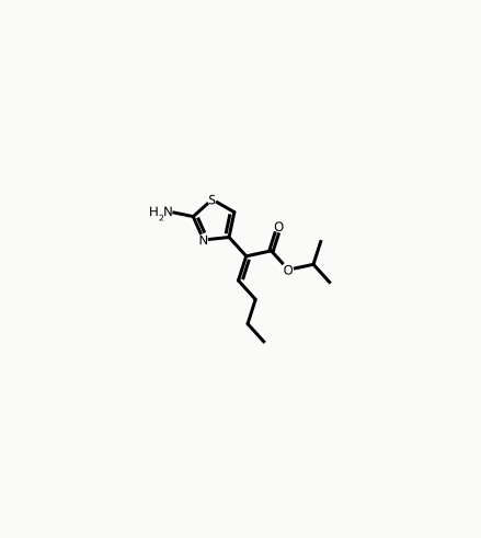 CCC/C=C(\C(=O)OC(C)C)c1csc(N)n1